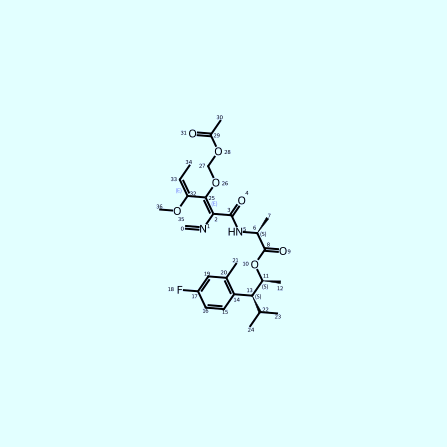 C=N/C(C(=O)N[C@@H](C)C(=O)O[C@@H](C)[C@H](c1ccc(F)cc1C)C(C)C)=C(OCOC(C)=O)\C(=C/C)OC